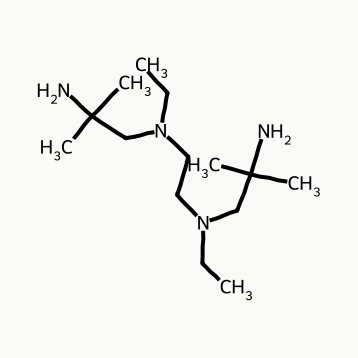 CCN(CCN(CC)CC(C)(C)N)CC(C)(C)N